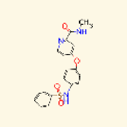 CNC(=O)c1cc(Oc2ccc(NS(=O)(=O)c3ccccc3)cc2)ccn1